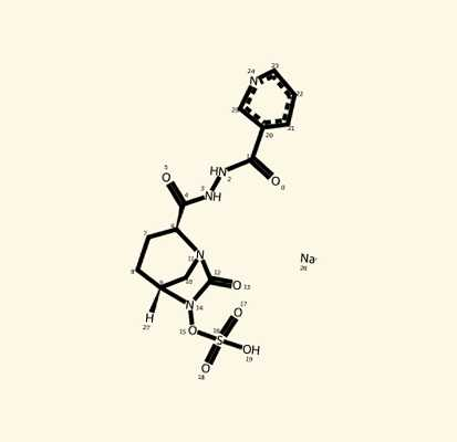 O=C(NNC(=O)[C@@H]1CC[C@@H]2CN1C(=O)N2OS(=O)(=O)O)c1cccnc1.[Na]